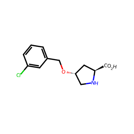 O=C(O)[C@@H]1C[C@@H](OCc2cccc(Cl)c2)CN1